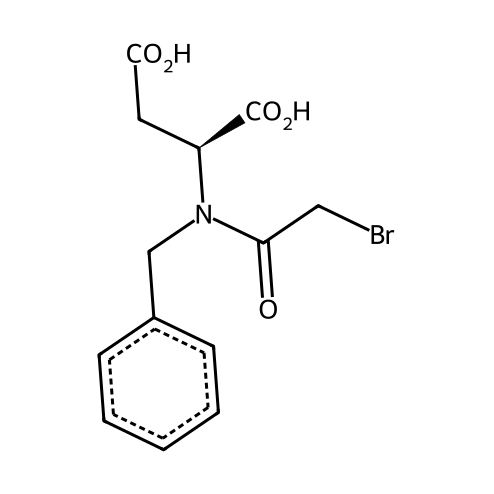 O=C(O)C[C@@H](C(=O)O)N(Cc1ccccc1)C(=O)CBr